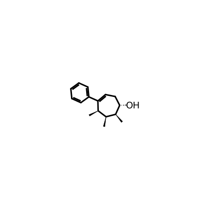 C[C@@H]1[C@H](C)[C@@H](O)CC=C(c2ccccc2)[C@@H]1C